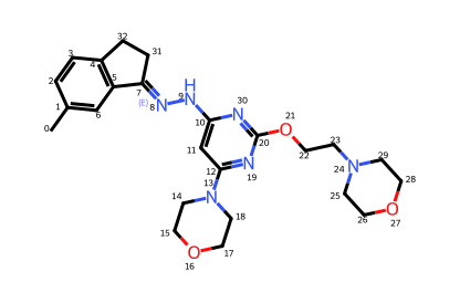 Cc1ccc2c(c1)/C(=N/Nc1cc(N3CCOCC3)nc(OCCN3CCOCC3)n1)CC2